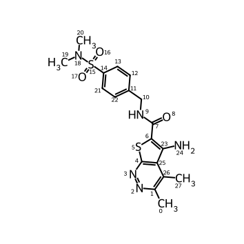 Cc1nnc2sc(C(=O)NCc3ccc(S(=O)(=O)N(C)C)cc3)c(N)c2c1C